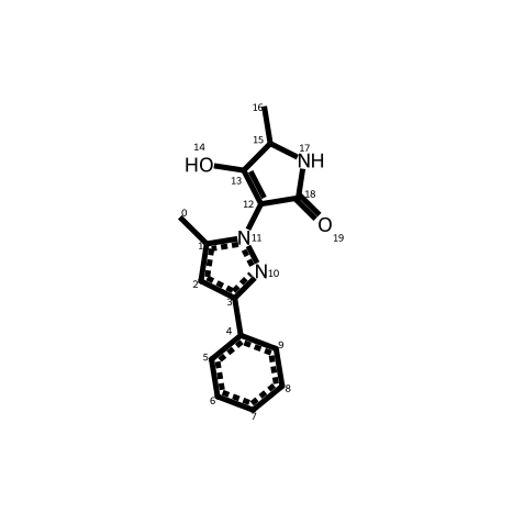 Cc1cc(-c2ccccc2)nn1C1=C(O)C(C)NC1=O